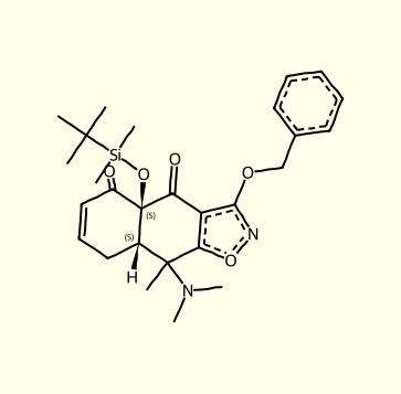 CN(C)C1(C)c2onc(OCc3ccccc3)c2C(=O)[C@@]2(O[Si](C)(C)C(C)(C)C)C(=O)C=CC[C@@H]12